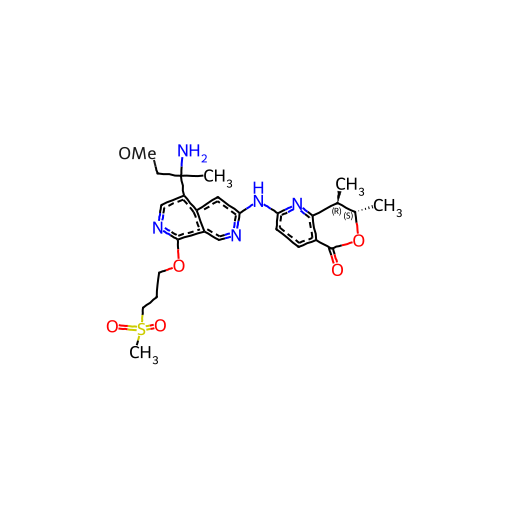 COCC(C)(N)c1cnc(OCCCS(C)(=O)=O)c2cnc(Nc3ccc4c(n3)[C@@H](C)[C@H](C)OC4=O)cc12